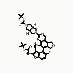 CC(C)(C)OC(=O)Nc1sc2ccc(F)c(-c3c4c(c5cnc(N6C[C@H]7CN(C(=O)OC(C)(C)C)C[C@H]7C6)nc5c3F)COC4)c2c1C#N